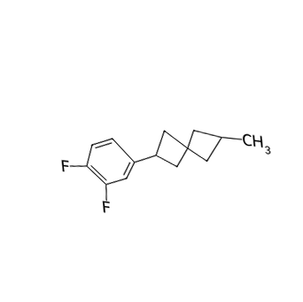 CC1CC2(C1)CC(c1ccc(F)c(F)c1)C2